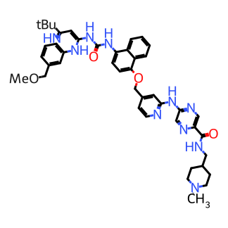 COCc1cccc(N/C(=C\C(=N)C(C)(C)C)NC(=O)Nc2ccc(OCc3ccnc(Nc4cnc(C(=O)NCC5CCN(C)CC5)cn4)c3)c3ccccc23)c1